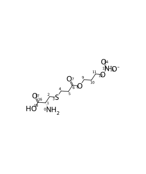 N[C@@H](CSCCC(=O)OCCCO[N+](=O)[O-])C(=O)O